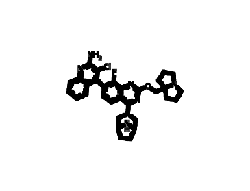 Nc1nc2ccccc2c(-c2ccc3c(N4CC5CCC(C4)N5)nc(OCC45CCCN4CCC5)nc3c2F)c1Cl